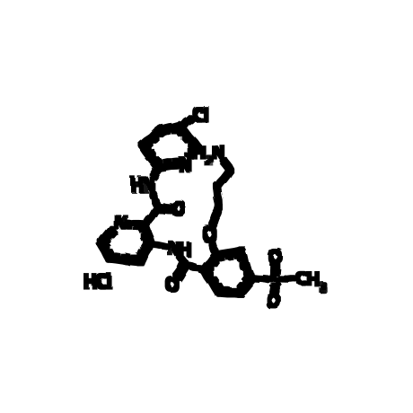 CS(=O)(=O)c1ccc(C(=O)Nc2cccnc2C(=O)Nc2ccc(Cl)cn2)c(OCCCN)c1.Cl